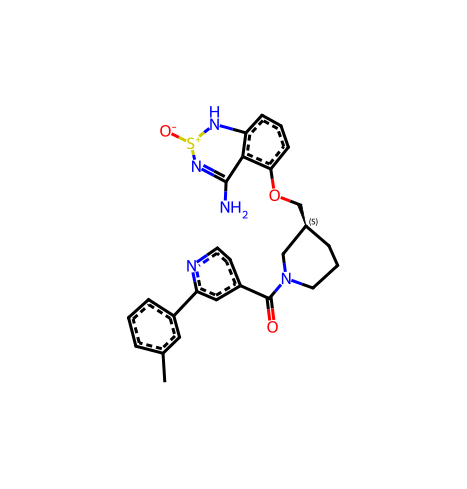 Cc1cccc(-c2cc(C(=O)N3CCC[C@H](COc4cccc5c4C(N)=N[S+]([O-])N5)C3)ccn2)c1